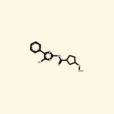 N#Cc1sc(NC(=O)C2CCC(OC=O)C2)nc1-c1ccccc1